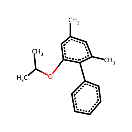 Cc1cc(C)c(-c2ccccc2)c(OC(C)C)c1